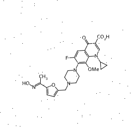 COc1c(N2CCN(Cc3ccc(/C(C)=N/O)o3)CC2)c(F)cc2c(=O)c(C(=O)O)cn(C3CC3)c12